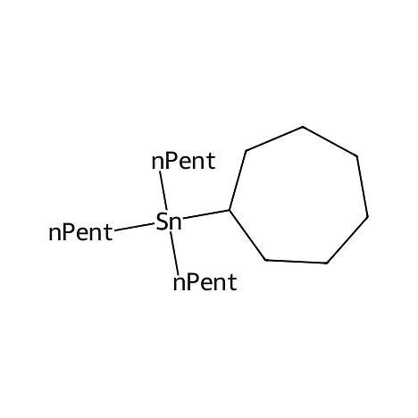 CCCC[CH2][Sn]([CH2]CCCC)([CH2]CCCC)[CH]1CCCCCC1